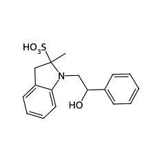 CC1(S(=O)(=O)O)Cc2ccccc2N1CC(O)c1ccccc1